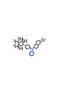 [2H]c1c([2H])c([2H])c(-c2ccc(N(c3ccccc3)c3ccc4cc(Br)ccc4c3)cc2)c([2H])c1[2H]